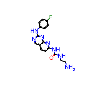 NCCNC(=O)Nc1ccc2cnc(Nc3ccc(F)cc3)nc2n1